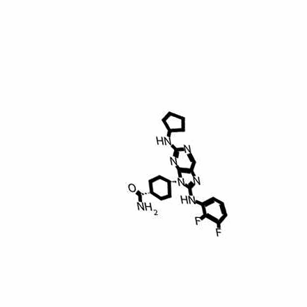 NC(=O)[C@H]1CC[C@@H](n2c(Nc3cccc(F)c3F)nc3cnc(NC4CCCC4)nc32)CC1